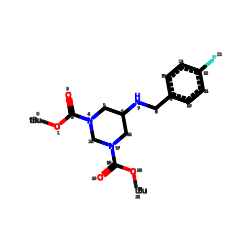 CC(C)(C)OC(=O)N1CC(NCc2ccc(F)cc2)CN(C(=O)OC(C)(C)C)C1